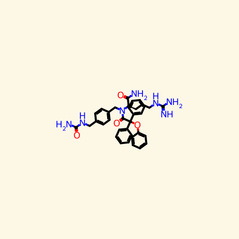 N=C(N)NCCC[C@H](C(N)=O)N(Cc1ccc(CNC(N)=O)cc1)C(=O)C(Oc1ccccc1)(c1ccccc1)c1ccccc1